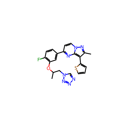 Cc1nn2ccc(-c3ccc(F)c(OC(C)Cn4cnnn4)c3)nc2c1-c1cccs1